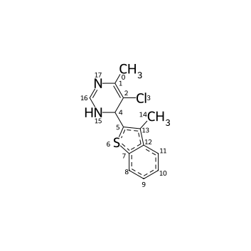 CC1=C(Cl)C(c2sc3ccccc3c2C)NC=N1